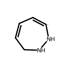 [C]1=CC=CCNN1